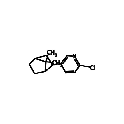 CC1(C)C2CCC1[C@@H](c1ccc(Cl)nc1)C2